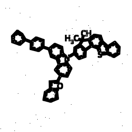 CC1(C)c2cc(-n3c4ccc(-c5ccc(-c6ccccc6)cc5)cc4c4cc(-c5cc6ccccc6o5)ccc43)ccc2-c2c1ccc1c2sc2ccccc21